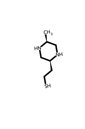 C[C@H]1CN[C@@H](CCS)CN1